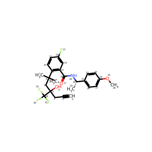 C#CCC(O)(CC(C)(C)c1ccc(F)cc1C(=O)N[C@@H](C)c1ccc(OC)cc1)C(F)(F)F